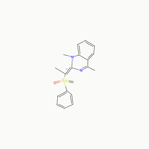 C=S(=O)(/C(C)=C1\N=C(C)c2ccccc2N1C)c1ccccc1